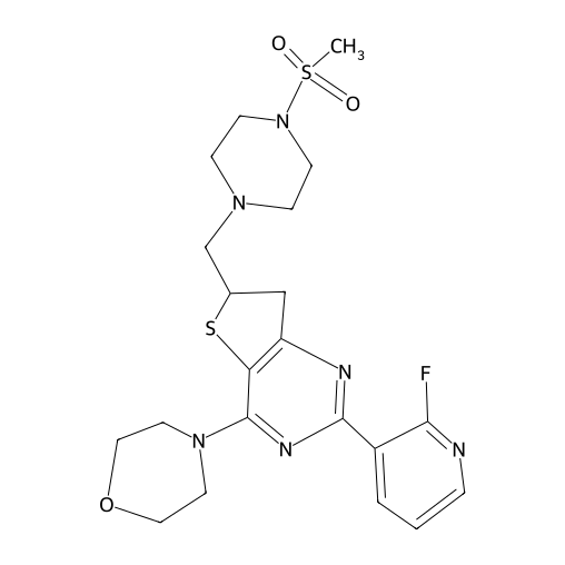 CS(=O)(=O)N1CCN(CC2Cc3nc(-c4cccnc4F)nc(N4CCOCC4)c3S2)CC1